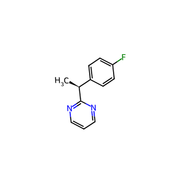 C[C@@H](c1ccc(F)cc1)c1ncccn1